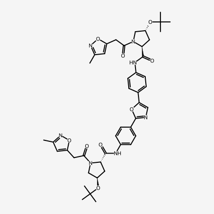 Cc1cc(CC(=O)N2C[C@H](OC(C)(C)C)C[C@H]2C(=O)Nc2ccc(-c3cnc(-c4ccc(NC(=O)[C@@H]5C[C@@H](OC(C)(C)C)CN5C(=O)Cc5cc(C)no5)cc4)o3)cc2)on1